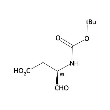 CC(C)(C)OC(=O)N[C@@H](C=O)CC(=O)O